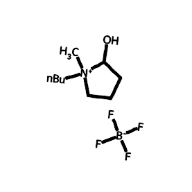 CCCC[N+]1(C)CCCC1O.F[B-](F)(F)F